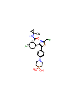 N#CC1(NC(=O)[C@@H]2C[C@@H](F)CC[C@H]2c2nc(CF)sc2-c2ccc(N3CCS(O)(O)CC3)cc2)CC1